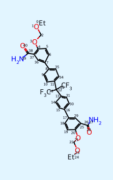 CCOCOc1ccc(-c2ccc(C(c3ccc(-c4ccc(OCOCC)c(C(N)=O)c4)cc3)(C(F)(F)F)C(F)(F)F)cc2)cc1C(N)=O